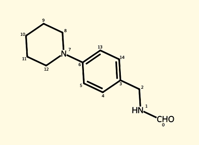 O=CNCc1ccc(N2CCCCC2)cc1